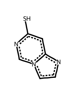 Sc1cc2nccn2cn1